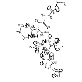 CCOC(=O)CCc1cc(Oc2nc(S(C)(=O)=O)nc(OC(CCC(=O)O)C(=O)O)c2[N+](=O)[O-])cc(C2N=CCCN2)c1